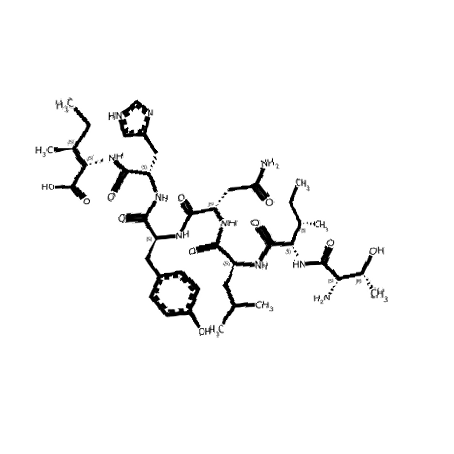 CC[C@H](C)[C@H](NC(=O)[C@H](Cc1c[nH]cn1)NC(=O)[C@H](Cc1ccc(O)cc1)NC(=O)[C@H](CC(N)=O)NC(=O)[C@H](CC(C)C)NC(=O)[C@@H](NC(=O)[C@@H](N)[C@@H](C)O)[C@@H](C)CC)C(=O)O